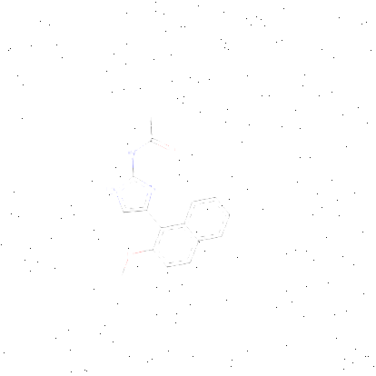 COc1ccc2ccccc2c1-c1c[nH]c(NC(C)=O)n1